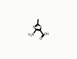 Cc1nc(N)c(C(=O)O)s1